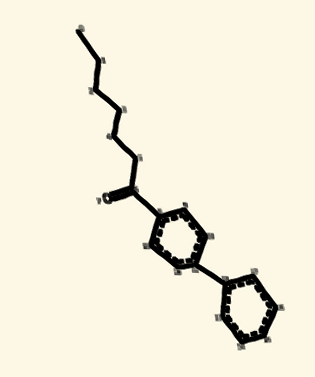 CCCCCCC(=O)c1ccc(-c2ccccc2)cc1